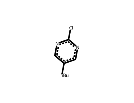 CCCCc1cnc(Cl)nc1